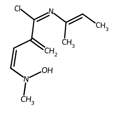 C=C(/C=C\N(C)O)/C(Cl)=N\C(C)=C\C